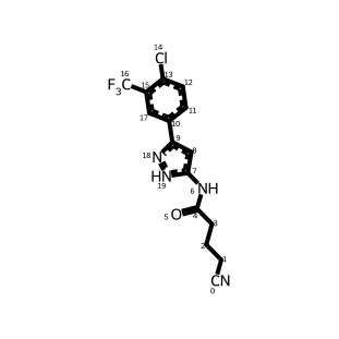 N#CCCCC(=O)Nc1cc(-c2ccc(Cl)c(C(F)(F)F)c2)n[nH]1